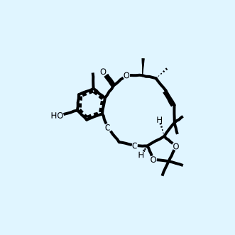 Cc1cc(O)cc2c1C(=O)O[C@@H](C)[C@H](C)/C=C\C(C)(C)[C@H]1OC(C)(C)O[C@H]1CCC2